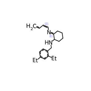 C=C/C=C\N=C1/CCCCC1NCc1ccc(CC)cc1CC